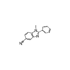 N#Cc1ccc2c(c1)nc(-c1ccccc1)n2I